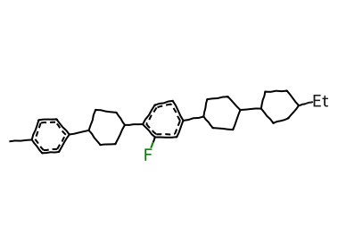 CCC1CCC(C2CCC(c3ccc(C4CCC(c5ccc(C)cc5)CC4)c(F)c3)CC2)CC1